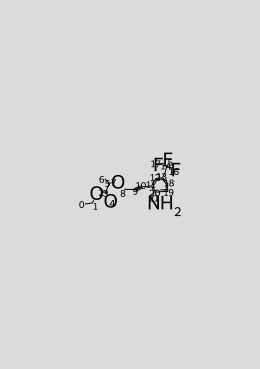 CCOC(=O)C(C)OCC#Cc1cc(C(F)(F)F)ccc1N